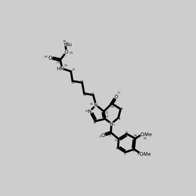 COc1ccc(C(=O)N2CCC(=O)c3c2cnn3CCCCCNC(=O)OC(C)(C)C)cc1OC